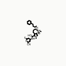 CN=S1(=O)N[C@@H](C(C)CCc2ccccc2)CCc2c1cn(C)c2C(O)Nc1cc(F)nc(C#N)c1